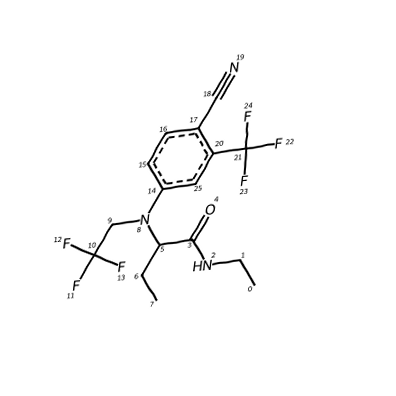 CCNC(=O)C(CC)N(CC(F)(F)F)c1ccc(C#N)c(C(F)(F)F)c1